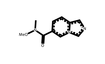 CON(C)C(=O)c1ccc2cncn2c1